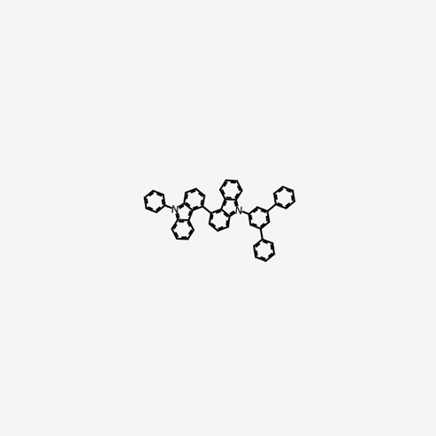 c1ccc(-c2cc(-c3ccccc3)cc(-n3c4ccccc4c4c(-c5cccc6c5c5ccccc5n6-c5ccccc5)cccc43)c2)cc1